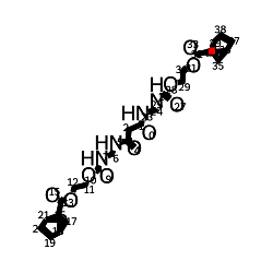 O=C(CC(=O)NCNC(=O)OCCOC(=O)C1CC2C=CC1C2)NCNC(=O)OCCOC(=O)C1CC2C=CC1C2